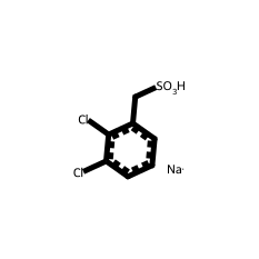 O=S(=O)(O)Cc1cccc(Cl)c1Cl.[Na]